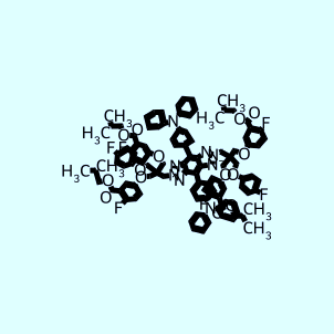 CC(C)COC(=O)c1cc(OCC(COc2ccc(F)cc2)(COc2ccc(F)c(C(=O)OCC(C)C)c2)Cn2nc3c(-c4ccc(N(c5ccccc5)c5ccccc5)cc4)c4n[n+](CC(COc5ccc(F)cc5)(COc5ccc(F)c(C(=O)OCC(C)C)c5)COc5ccc(F)c(C(=O)OCC(C)C)c5)[n-]c4c(-c4ccc(N(c5ccccc5)c5ccccc5)cc4)c3n2)ccc1F